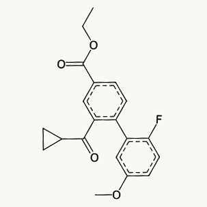 CCOC(=O)c1ccc(-c2cc(OC)ccc2F)c(C(=O)C2CC2)c1